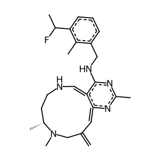 C=C1/C=c2/nc(C)nc(NCc3cccc(C(C)F)c3C)/c2=C/NCC[C@@H](C)N(C)C1